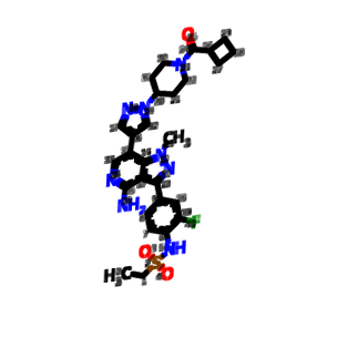 CCS(=O)(=O)Nc1ccc(-c2nn(C)c3c(-c4cnn(C5CCN(C(=O)C6CCC6)CC5)c4)cnc(N)c23)cc1F